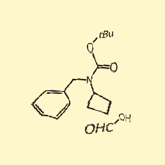 CC(C)(C)OC(=O)N(Cc1ccccc1)C1CCC1.O=CO